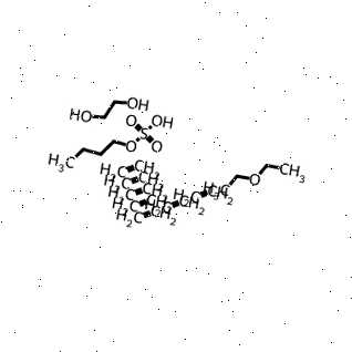 C=C.C=C.C=C.C=C.C=C.C=C.C=C.CCCCOS(=O)(=O)O.CCOCC.OCCO